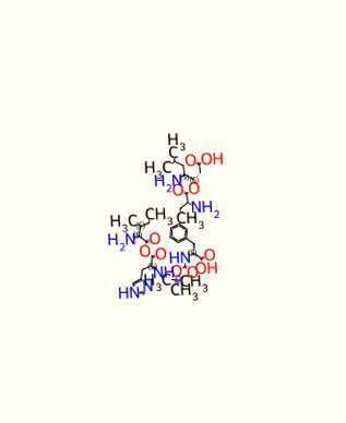 CC(C)(C)OC(=O)N[C@@H](Cc1ccccc1)C(=O)O.CCC(N)C(=O)O[C@@H](CC(=O)O)[C@@H](N)CC(C)C.CC[C@H](C)[C@H](N)C(=O)OC(=O)[C@@H](N)Cc1c[nH]cn1